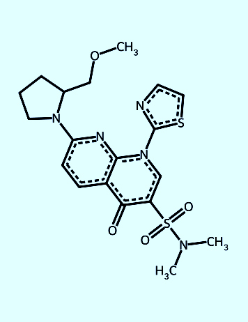 COCC1CCCN1c1ccc2c(=O)c(S(=O)(=O)N(C)C)cn(-c3nccs3)c2n1